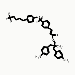 [CH2]C(COC(=O)/C=C/c1ccc(C(F)(F)Oc2ccc(CCCCC(F)(F)F)cc2)cc1)(Cc1ccc(N)cc1)Cc1ccc(N)cc1